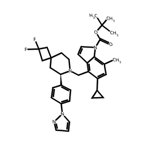 Cc1cc(C2CC2)c(CN2CCC3(C[C@@H]2c2ccc(-n4cccn4)cc2)CC(F)(F)C3)c2ccn(C(=O)OC(C)(C)C)c12